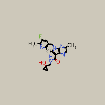 Cc1cnc2c(C(=O)NCC3(O)CC3)cn(Cc3cc(F)c(C)nc3C)c2n1